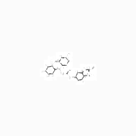 Cc1ccc(C(NC(=O)Cc2ccc3[nH]c(C)nc3c2)c2ccccc2)c(Br)c1